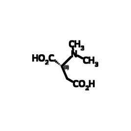 CN(C)[C@H](CC(=O)O)C(=O)O